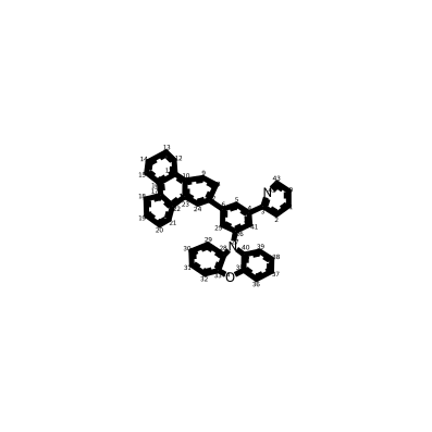 c1ccc(-c2cc(-c3ccc4c5ccccc5c5ccccc5c4c3)cc(N3c4ccccc4Oc4ccccc43)c2)nc1